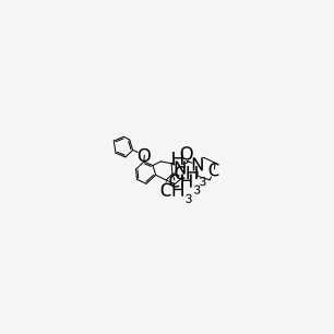 CC1(C)[C@H]2Cc3c(Oc4ccccc4)cccc3[C@]1(C)CCN2C(=O)N1CCCCC1